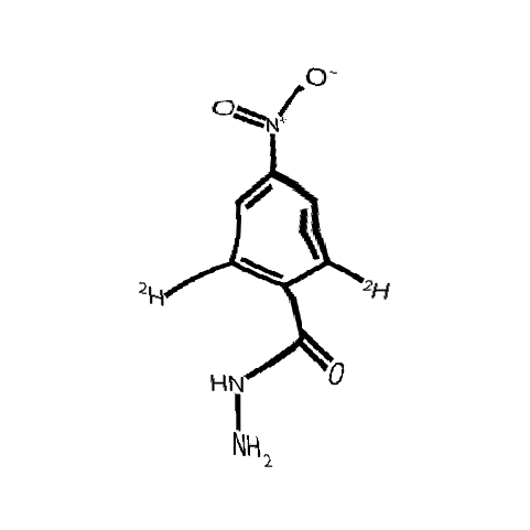 [2H]c1cc([N+](=O)[O-])cc([2H])c1C(=O)NN